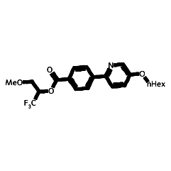 CCCCCCOc1ccc(-c2ccc(C(=O)OC(COC)C(F)(F)F)cc2)nc1